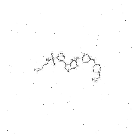 CCCCNS(=O)(=O)c1cccc(-c2csc3cnc(Nc4ccc(OC5CCN(CC)CC5)cc4)nc23)c1